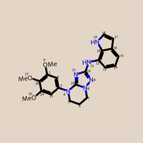 COc1cc(N2CCCn3nc(Nc4cccc5cc[nH]c45)nc32)cc(OC)c1OC